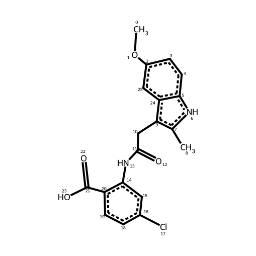 COc1ccc2[nH]c(C)c(CC(=O)Nc3cc(Cl)ccc3C(=O)O)c2c1